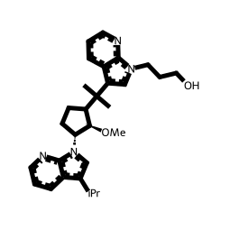 CO[C@@H]1C(C(C)(C)c2cn(CCCO)c3ncccc23)CC[C@H]1n1cc(C(C)C)c2cccnc21